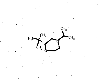 CC(C)N1CCO[C@H](C(C)(C)N)C1